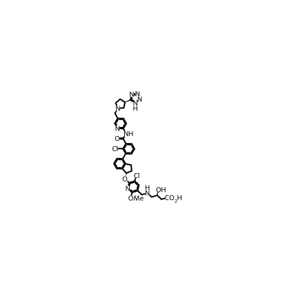 COc1nc(O[C@H]2CCc3c(-c4cccc(C(=O)Nc5ccc(CN6CC[C@@H](c7nnn[nH]7)C6)cn5)c4Cl)cccc32)c(Cl)cc1CNC[C@@H](O)CC(=O)O